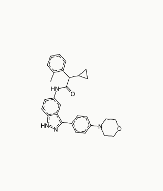 Cc1ccccc1C(C(=O)Nc1ccc2[nH]nc(-c3ccc(N4CCOCC4)cc3)c2c1)C1CC1